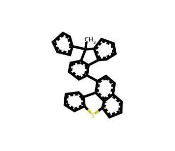 CC1(c2ccccc2)c2ccccc2-c2c(-c3ccc4cccc5c4c3-c3ccccc3S5)cccc21